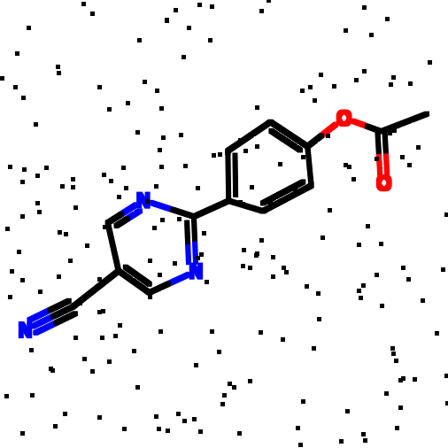 CC(=O)Oc1ccc(-c2ncc(C#N)cn2)cc1